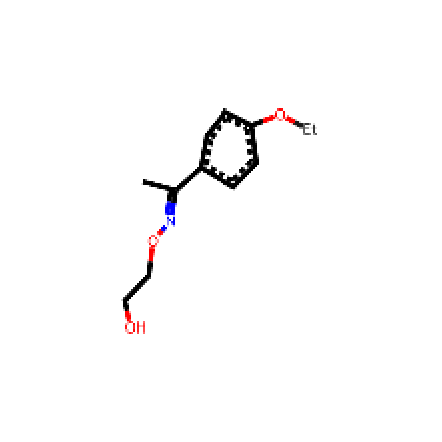 CCOc1ccc(C(C)=NOCCO)cc1